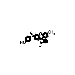 Cc1ccc2c(c1)Oc1cc(N(C)c3ccc(O)cc3)ccc1C21OC(=O)c2ccccc21